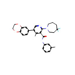 Cc1cccc(NC(=O)c2c(N3CCCC(F)(F)CC3)ncc(-c3ccc4c(c3)OCCO4)c2C)c1